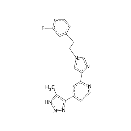 Cc1[nH]nnc1-c1ccnc(-c2cn(CCc3cccc(F)c3)cn2)c1